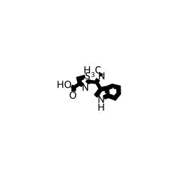 CN=C(c1nc(C(=O)O)cs1)c1c[nH]c2ccccc12